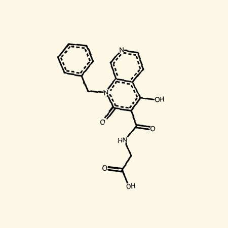 O=C(O)CNC(=O)c1c(O)c2ccncc2n(Cc2ccccc2)c1=O